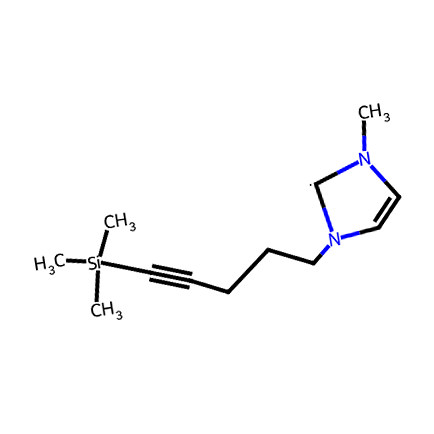 CN1[CH]N(CCCC#C[Si](C)(C)C)C=C1